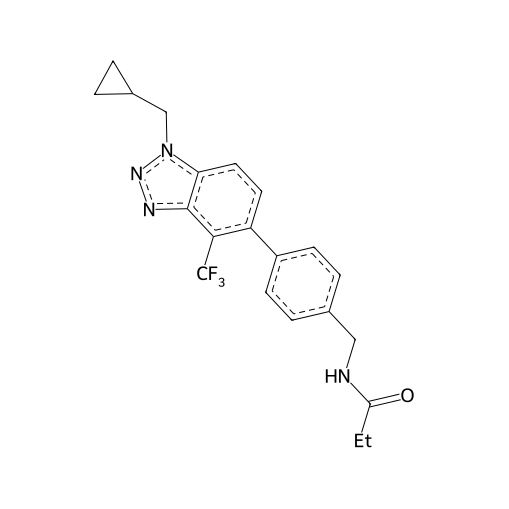 CCC(=O)NCc1ccc(-c2ccc3c(nnn3CC3CC3)c2C(F)(F)F)cc1